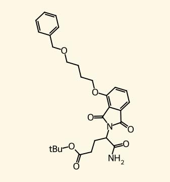 CC(C)(C)OC(=O)CCC(C(N)=O)N1C(=O)c2cccc(OCCCCOCc3ccccc3)c2C1=O